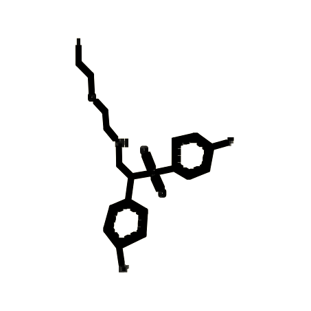 O=S(=O)(c1ccc(F)cc1)C(CNCCOCCI)c1ccc(Br)cc1